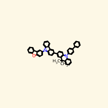 CC1(C)c2ccccc2N(c2ccc(-c3ccccc3)cc2)c2ccc(-c3ccc4c(c3)c3ccccc3n4-c3ccc4oc5ccccc5c4c3)cc21